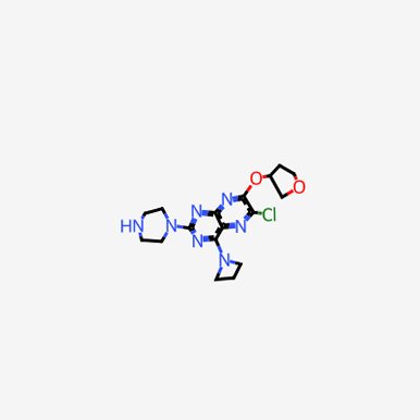 Clc1nc2c(N3CCC3)nc(N3CCNCC3)nc2nc1OC1CCOC1